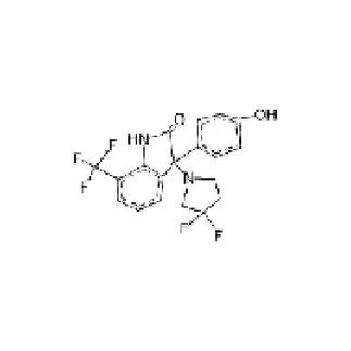 O=C1Nc2c(C(F)(F)F)cccc2C1(c1ccc(O)cc1)N1CCC(F)(F)C1